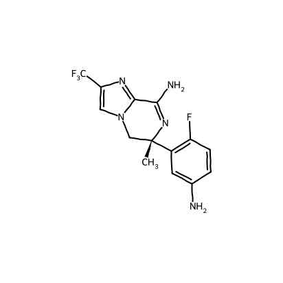 C[C@@]1(c2cc(N)ccc2F)Cn2cc(C(F)(F)F)nc2C(N)=N1